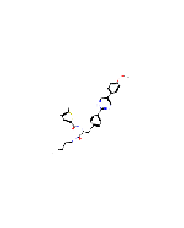 CCCCCCCOc1ccc(-c2cnc(-c3ccc(CC(NC(=O)c4ccc(C(C)(C)C)s4)C(=O)NCCCC(=O)O)cc3)nc2)cc1